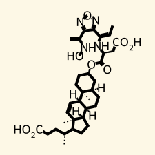 C=C(NO)c1nonc1/C(=C\C)N[C@@H](CC(=O)O)C(=O)O[C@@H]1CC[C@@]2(C)[C@H](CC[C@@H]3[C@@H]2C=C[C@]2(C)C([C@H](C)CCC(=O)O)CC[C@@H]32)C1